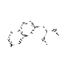 COC(Cc1ccc2ccncc2c1)OC